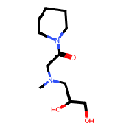 CN(CC(=O)N1CCCCC1)CC(O)CO